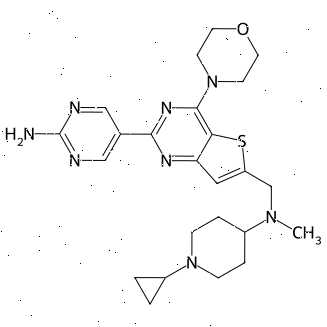 CN(Cc1cc2nc(-c3cnc(N)nc3)nc(N3CCOCC3)c2s1)C1CCN(C2CC2)CC1